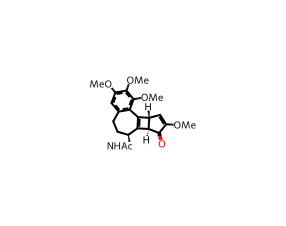 COC1=C[C@H]2C3=C([C@@H]2C1=O)[C@@H](NC(C)=O)CCc1cc(OC)c(OC)c(OC)c13